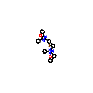 c1ccc(-c2nc(-c3cccc4c3oc3ccccc34)nc(-c3cccc4c3sc3cc(-c5nc(-c6ccccc6)c6oc7ccccc7c6n5)ccc34)n2)cc1